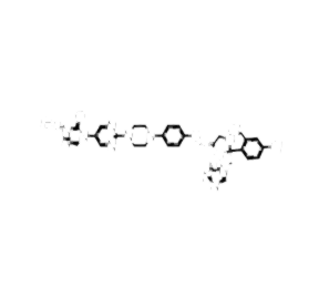 CCC(C)n1ncn(-c2cnc(N3CCN(c4ccc(OC[C@@H]5CO[C@@](Cn6cnnn6)(c6ccc(Cl)cc6Cl)O5)cc4)CC3)nc2)c1=O